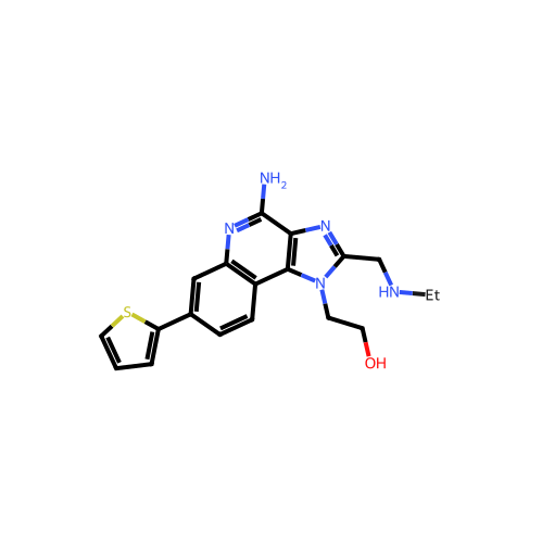 CCNCc1nc2c(N)nc3cc(-c4cccs4)ccc3c2n1CCO